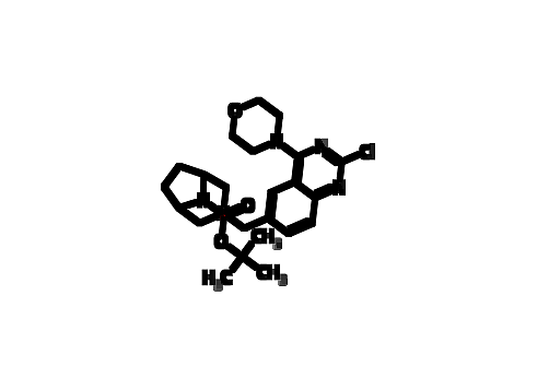 CC(C)(C)OC(=O)N1C2CCC1CN(Cc1ccc3nc(Cl)nc(N4CCOCC4)c3c1)C2